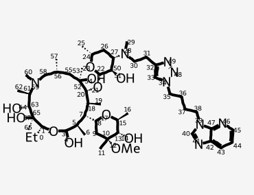 CC[C@H]1OC(O)[C@H](C)[C@@H](C2C[C@@](C)(OC)[C@@H](O)[C@H](C)O2)[C@H](C)[C@@H](O[C@@H]2O[C@H](C)C[C@H](N(C)CCc3cn(CCCCn4cnc5cccnc54)nn3)[C@H]2O)[C@](C)(O)C[C@@H](C)CN(C)[C@H](C)[C@@H](O)[C@]1(C)O